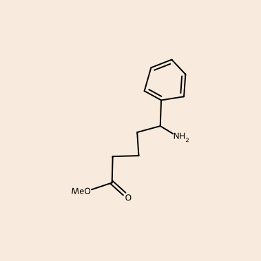 COC(=O)CCCC(N)c1ccccc1